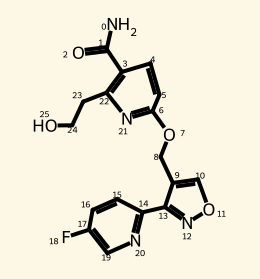 NC(=O)c1ccc(OCc2conc2-c2ccc(F)cn2)nc1CCO